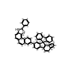 c1ccc(C2Nc3ccc4ccc5cc(-c6ccc7c(c6)C6(c8ccccc8-c8ccccc86)c6c-7ccc7ccccc67)ccc5c4c3O2)cc1